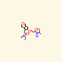 CCN(CC)C(=O)Cc1c(OCCC(O)NC(C)C)cc2coccc1-2